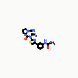 CC(=O)Nc1cccc(-c2csc(N(C)C(=O)[C@@H]3CCCN3C#N)n2)c1